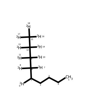 [2H]C(CCCC)C([2H])([2H])C([2H])([2H])C([2H])([2H])C([2H])([2H])[2H]